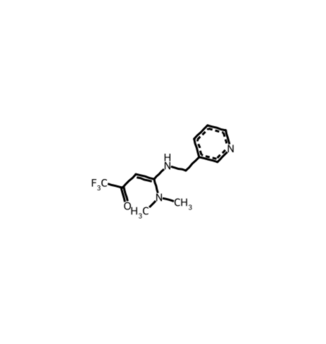 CN(C)C(=CC(=O)C(F)(F)F)NCc1cccnc1